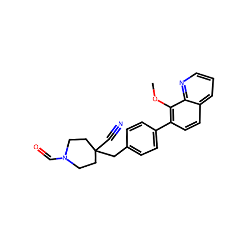 COc1c(-c2ccc(CC3(C#N)CCN(C=O)CC3)cc2)ccc2cccnc12